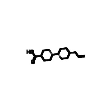 C=CC[C@H]1CC[C@H]([C@H]2CC[C@H](C(=O)O)CC2)CC1